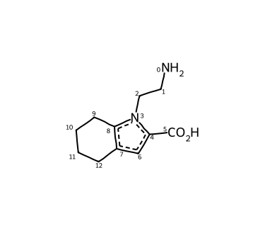 NCCn1c(C(=O)O)cc2c1CCCC2